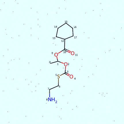 CC(OC(=O)SCCN)OC(=O)C1CCCCC1